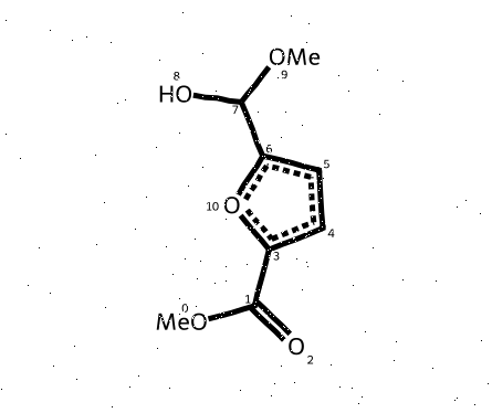 COC(=O)c1ccc(C(O)OC)o1